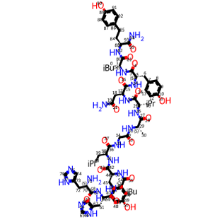 CC[C@H](C)[C@H](NC(=O)[C@H](Cc1ccc(O)cc1)NC(=O)[C@H](CC(N)=O)NC(=O)[C@@H](NC(=O)[C@H](C)NC(=O)CNC(=O)[C@H](CC(C)C)NC(=O)[C@H](Cc1ccc(O)cc1)NC(=O)[C@@H](NC(=O)[C@H](Cc1cnc[nH]1)NC(=O)[C@@H](N)Cc1cnc[nH]1)[C@@H](C)CC)C(C)C)C(=O)N[C@@H](CCc1ccc(O)cc1)C(N)=O